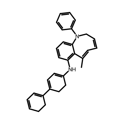 C/C1=C\C=C/CN(c2ccccc2)c2cccc(NC3=CC=C(C4=CC=CCC4)CC3)c21